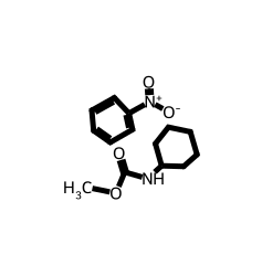 COC(=O)NC1CCCCC1.O=[N+]([O-])c1ccccc1